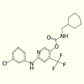 O=C(NCC1CCCCC1)Oc1cnc(Nc2cccc(Cl)c2)cc1C(F)(F)F